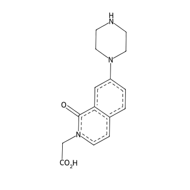 O=C(O)Cn1ccc2ccc(N3CCNCC3)cc2c1=O